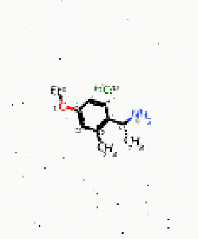 CCOc1ccc([C@@H](C)N)c(C)c1.Cl